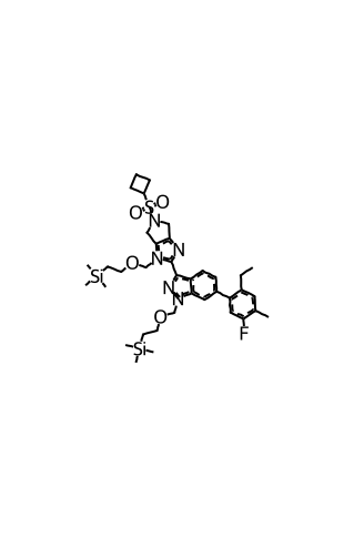 CCc1cc(C)c(F)cc1-c1ccc2c(-c3nc4c(n3COCC[Si](C)(C)C)CN(S(=O)(=O)C3CCC3)C4)nn(COCC[Si](C)(C)C)c2c1